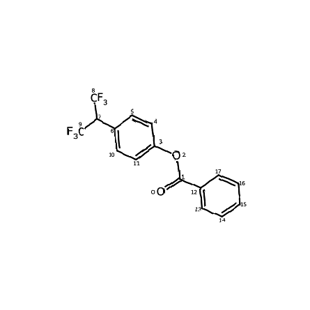 O=C(Oc1ccc(C(C(F)(F)F)C(F)(F)F)cc1)c1ccccc1